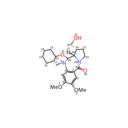 COc1cc2c(cc1OC)N(C)C(OC1CCCCC1)[C@@H]1[C@H](CO)CCN1C2=O